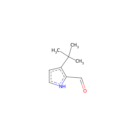 CC(C)(C)c1cc[nH]c1C=O